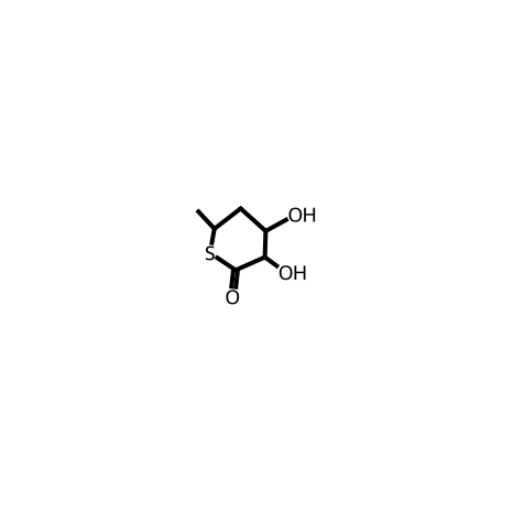 CC1CC(O)C(O)C(=O)S1